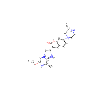 COc1cn2cc(-c3cc4ccc(N5CCN[C@@H](C)C5)cc4oc3=O)nc2c(C)n1